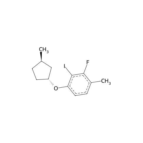 Cc1ccc(O[C@@H]2CC[C@@H](C)C2)c(I)c1F